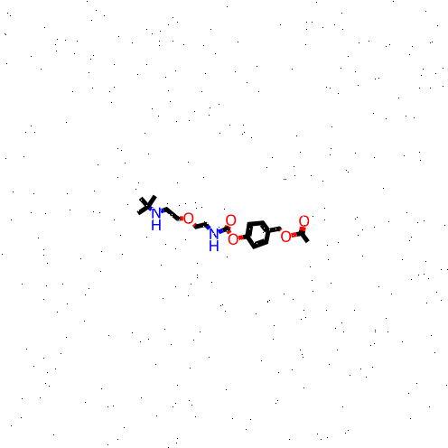 CC(=O)OCc1ccc(OC(=O)NCCOCCNC(C)(C)C)cc1